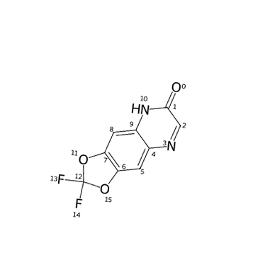 O=c1cnc2cc3c(cc2[nH]1)OC(F)(F)O3